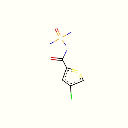 NP(N)(=O)NC(=O)c1cc(Cl)cs1